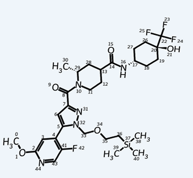 COc1cc(-c2cc(C(=O)N3CCC(C(=O)N[C@H]4CC[C@@](O)(C(F)(F)F)CC4)C[C@H]3C)nn2COCC[Si](C)(C)C)c(F)cn1